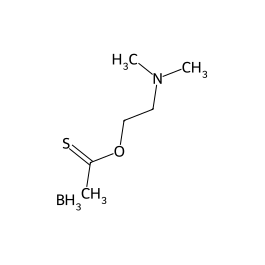 B.CC(=S)OCCN(C)C